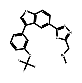 CNCc1nnc(-c2ccc3occ(-c4cccc(OC(F)(F)F)c4)c3c2)o1